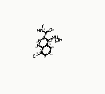 CNC(=O)c1nnc2c(Br)cccc2c1N.Cl